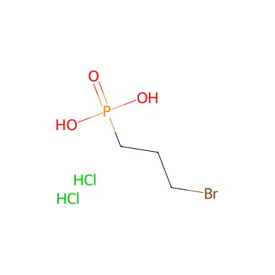 Cl.Cl.O=P(O)(O)CCCBr